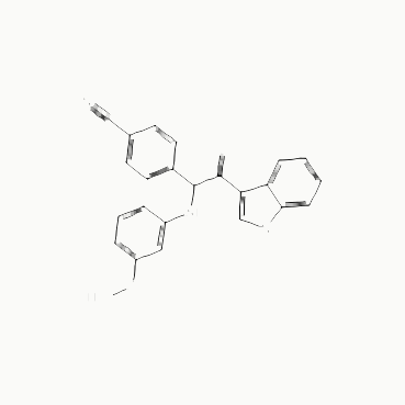 COc1cccc(NC(C(=O)c2c[nH]c3ccccc23)c2ccc(C#N)cc2)c1